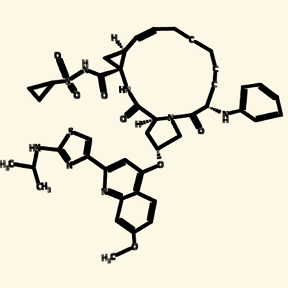 COc1ccc2c(O[C@@H]3C[C@H]4C(=O)N[C@]5(C(=O)NS(=O)(=O)C6CC6)C[C@H]5/C=C\CCCCC[C@H](Nc5ccccc5)C(=O)N4C3)cc(-c3csc(NC(C)C)n3)nc2c1